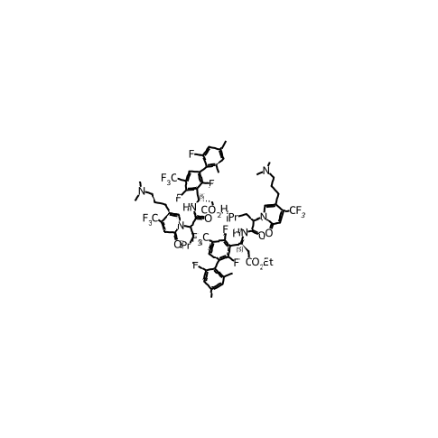 CCOC(=O)C[C@H](NC(=O)C(CC(C)C)n1cc(CCCN(C)C)c(C(F)(F)F)cc1=O)c1c(F)c(-c2c(C)cc(C)cc2F)cc(C(F)(F)F)c1F.Cc1cc(C)c(-c2cc(C(F)(F)F)c(F)c([C@H](CC(=O)O)NC(=O)C(CC(C)C)n3cc(CCCN(C)C)c(C(F)(F)F)cc3=O)c2F)c(F)c1